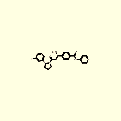 N[C@@H](CC(=O)N1CCC[C@H]1c1cccc(F)c1)c1ccc(C(=O)Nc2ccncc2)cc1